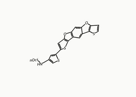 CCCCCCCCNc1csc(-c2cc3oc4cc5oc6ccsc6c5cc4c3s2)c1